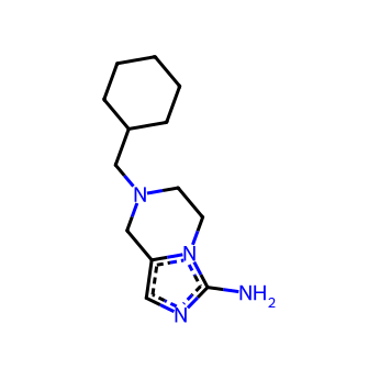 Nc1ncc2n1CCN(CC1CCCCC1)C2